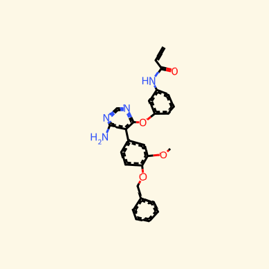 C=CC(=O)Nc1cccc(Oc2ncnc(N)c2-c2ccc(OCc3ccccc3)c(OC)c2)c1